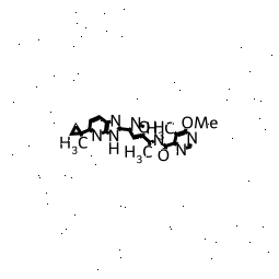 COc1ncnc(C(=O)NC(C)c2cc(-c3nc4ccc(C5(C)CC5)nc4[nH]3)no2)c1C